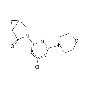 O=C1C2CC2CN1c1cc(Cl)cc(N2CCOCC2)n1